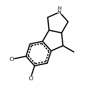 CC1c2cc(Cl)c(Cl)cc2C2CNCC12